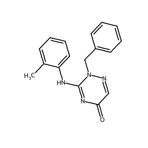 Cc1ccccc1Nc1nc(=O)cnn1Cc1ccccc1